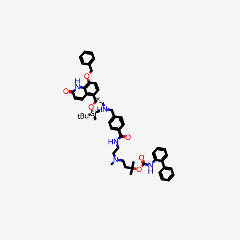 CN(CCNC(=O)c1ccc(CNC[C@H](O[Si](C)(C)C(C)(C)C)c2ccc(OCc3ccccc3)c3[nH]c(=O)ccc23)cc1)CCC(C)(C)OC(=O)Nc1ccccc1-c1ccccc1